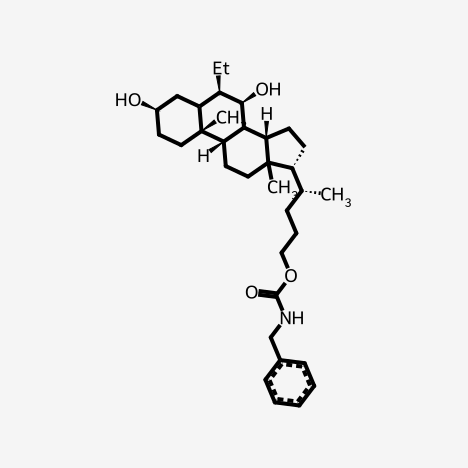 CC[C@@H]1C2C[C@H](O)CC[C@@]2(C)[C@H]2CCC3(C)[C@@H]([C@H](C)CCCOC(=O)NCc4ccccc4)CC[C@H]3C2[C@@H]1O